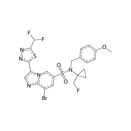 COc1ccc(CN(C2(CF)CC2)S(=O)(=O)c2cc(Br)c3ncc(-c4nnc(C(F)F)s4)n3c2)cc1